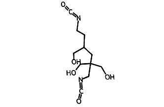 O=C=NCCC(CO)CC(CO)(CO)CN=C=O